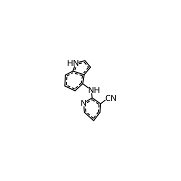 N#Cc1cccnc1Nc1cccc2[nH]ccc12